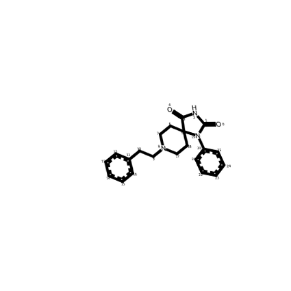 O=C1NC(=O)C2(CCN(CCc3ccccc3)CC2)N1c1ccccc1